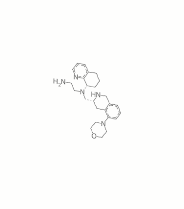 NCCN(C[C@H]1Cc2c(cccc2N2CCOCC2)CN1)[C@H]1CCCc2cccnc21